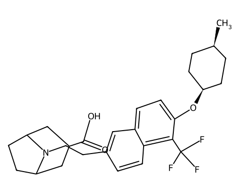 C[C@H]1CC[C@@H](Oc2ccc3cc(CCN4C5CCC4CC(C(=O)O)C5)ccc3c2C(F)(F)F)CC1